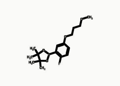 COCCCOc1ccc(F)c(B2OC(C)(C)C(C)(C)O2)c1